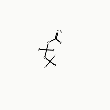 C=C(F)OC(F)(F)OC(F)(F)F